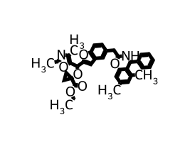 CCOC(=O)C1(OC(c2cc3cc(CC(=O)NC(c4ccccc4)c4ccc(C)cc4C)ccc3o2)c2oc(C)nc2C)CC1